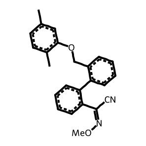 CO/N=C(/C#N)c1ccccc1-c1ccccc1COc1cc(C)ccc1C